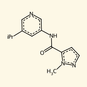 CC(C)c1cncc(NC(=O)c2ccnn2C)c1